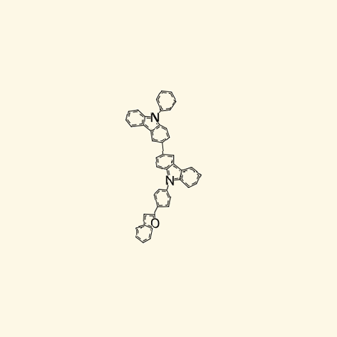 c1ccc(-n2c3ccccc3c3cc(-c4ccc5c(c4)c4ccccc4n5-c4ccc(-c5cc6ccccc6o5)cc4)ccc32)cc1